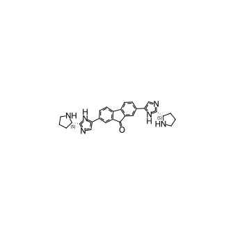 O=C1c2cc(-c3cnc([C@@H]4CCCN4)[nH]3)ccc2-c2ccc(-c3cnc([C@@H]4CCCN4)[nH]3)cc21